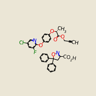 C#CCOC(=O)[C@@H](C)Oc1ccc(Oc2ncc(Cl)cc2F)cc1.O=C(O)C1=NOC(c2ccccc2)(c2ccccc2)C1